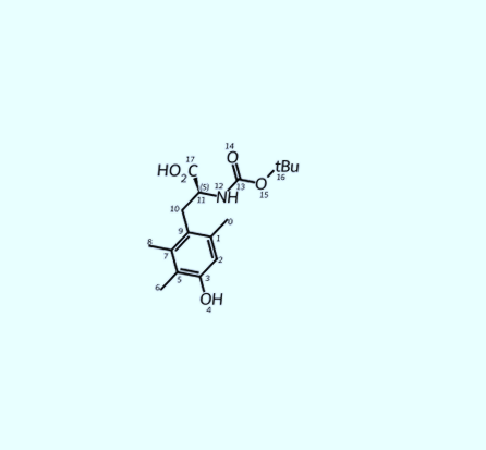 Cc1cc(O)c(C)c(C)c1C[C@H](NC(=O)OC(C)(C)C)C(=O)O